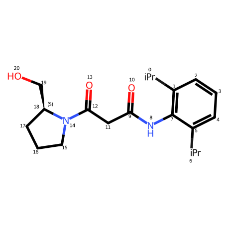 CC(C)c1cccc(C(C)C)c1NC(=O)CC(=O)N1CCC[C@H]1CO